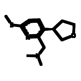 CSc1ccc([C@H]2CCOC2)c(CN(C)C)n1